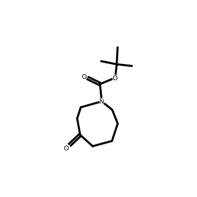 CC(C)(C)OC(=O)N1CCCCC(=O)CC1